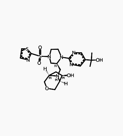 CC(C)(O)c1cnc(N2CCN(S(=O)(=O)c3nccs3)C[C@@H]2CN2[C@H]3COC[C@@H]2[C@H](O)C3)nc1